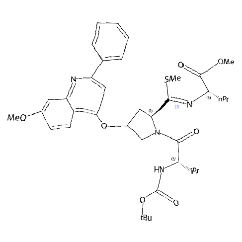 CCC[C@H](/N=C(\SC)[C@@H]1CC(Oc2cc(-c3ccccc3)nc3cc(OC)ccc23)CN1C(=O)[C@@H](NC(=O)OC(C)(C)C)C(C)C)C(=O)OC